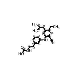 CCc1nc(C#N)c(Nc2ccnc(CCNC(=O)O)c2)nc1CC(C)C